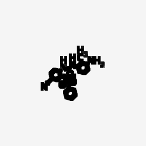 Cc1c(N)cccc1NC(=O)Nc1ccc(C#N)cc1NS(=O)(=O)c1ccccc1